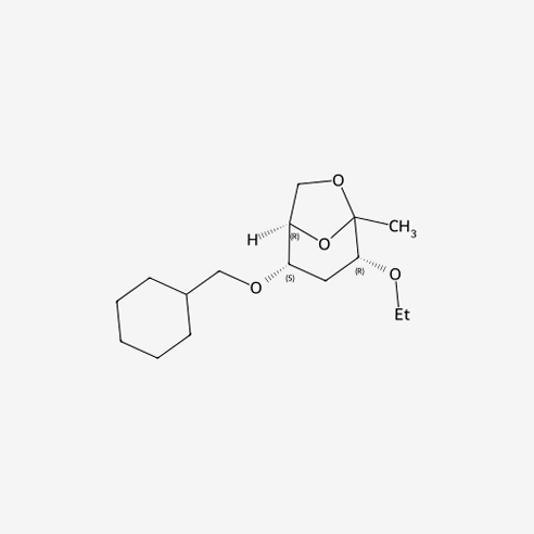 CCO[C@@H]1C[C@H](OCC2CCCCC2)[C@H]2COC1(C)O2